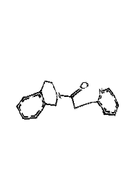 O=C(Cc1ccccn1)N1CCc2ccccc2C1